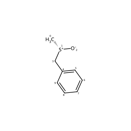 C[S@+]([O-])Cc1ccccc1